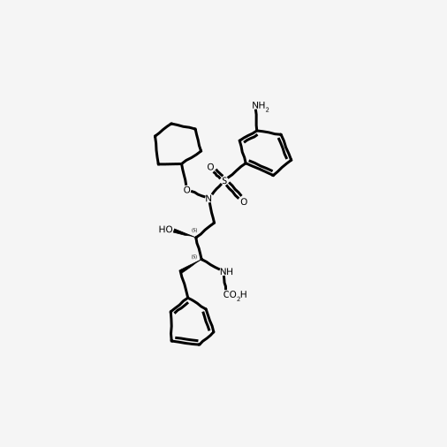 Nc1cccc(S(=O)(=O)N(C[C@H](O)[C@H](Cc2ccccc2)NC(=O)O)OC2CCCCC2)c1